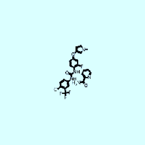 Cn1ccc(Oc2ccc(NC(=O)Nc3ccc(Cl)c(C(F)(F)F)c3)c(F)c2)c1.NC(=O)c1ccccn1